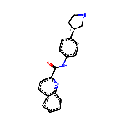 O=C(Nc1ccc([C@H]2CCNC2)cc1)c1ccc2ccccc2n1